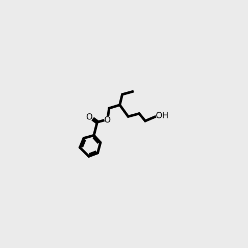 CCC(CCCO)COC(=O)c1ccccc1